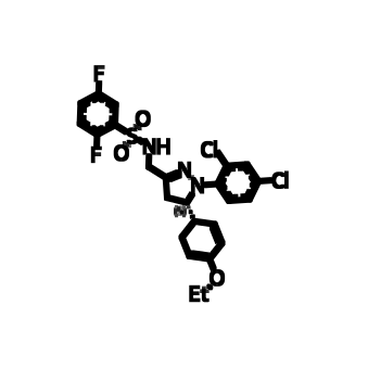 CCOC1=CCC([C@@H]2CC(CNS(=O)(=O)c3cc(F)ccc3F)=NN2c2ccc(Cl)cc2Cl)C=C1